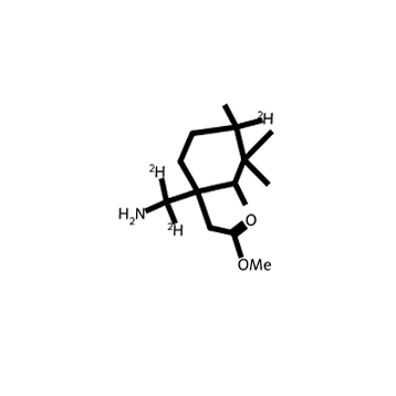 [2H]C([2H])(N)C1(CC(=O)OC)CCC([2H])(C)C(C)(C)C1C